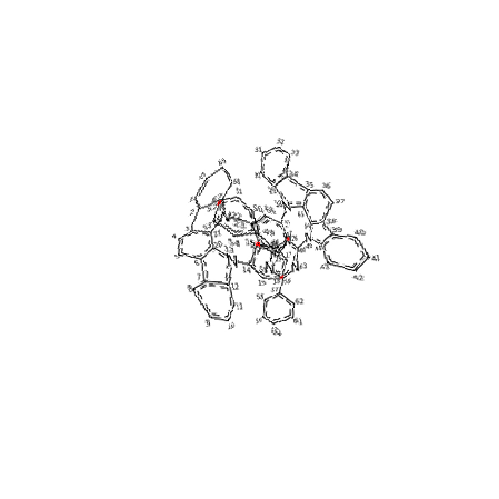 C1=CC2c3ccc4c5ccccc5n(-c5ccccc5)c4c3N(c3cccc(-n4c5ccccc5c5ccc6c7ccccc7n(-c7nc(-c8ccccc8)nc(-c8ccccc8)n7)c6c54)c3)C2C=C1